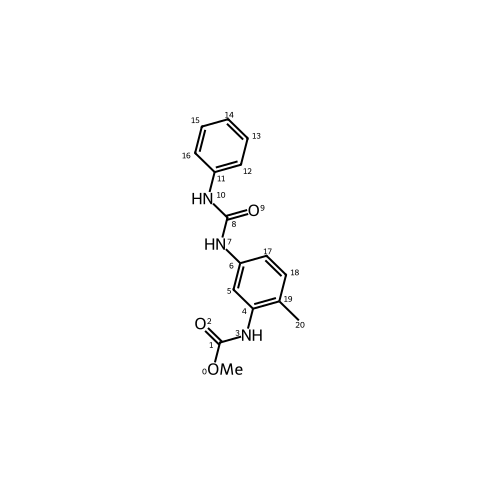 COC(=O)Nc1cc(NC(=O)Nc2ccccc2)ccc1C